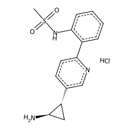 CS(=O)(=O)Nc1ccccc1-c1ccc([C@@H]2C[C@H]2N)cn1.Cl